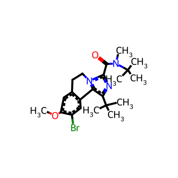 COc1cc2c(cc1Br)-c1c(C(C)(C)C)nc(C(=O)N(C)C(C)(C)C)n1CC2